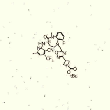 Cc1cc(C(F)(F)F)c(C#N)c(N[C@H]2CCN(Cc3nc(C4CN(C(=O)OC(C)(C)C)C4)no3)c3c(F)cccc3N(C)C2=O)n1